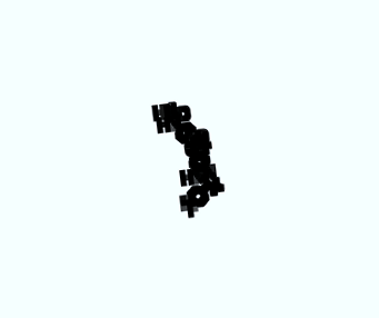 CNC(=O)NC1CCN(S(=O)(=O)N(C)c2ccc3[nH]c(C(C4CCC(F)(F)CC4)C(C)(C)C)nc3c2)CC1